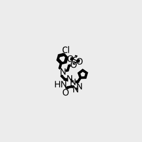 CS(=O)(=O)OCCN(Cc1ccc(Cl)cc1)Cc1nn2c(C3CCCC3)nnc2c(=O)[nH]1